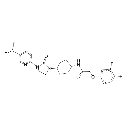 O=C(COc1ccc(F)c(F)c1)N[C@H]1CC[C@H](N2CCN(c3ccc(C(F)F)cn3)C2=O)CC1